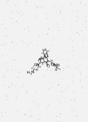 NC1CCN(c2cc3c(=O)c(CONC4CC4)c4sc5ccccc5n4c3nn2)CC1